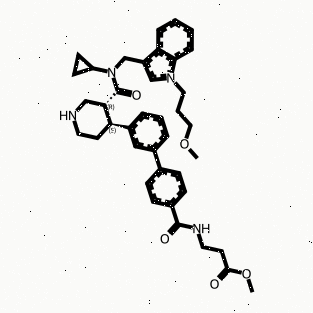 COCCCn1cc(CN(C(=O)[C@H]2CNCC[C@@H]2c2cccc(-c3ccc(C(=O)NCCC(=O)OC)cc3)c2)C2CC2)c2ccccc21